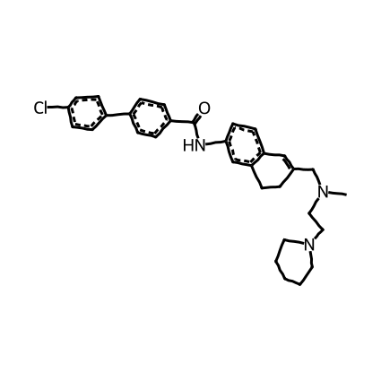 CN(CCN1CCCCC1)CC1=Cc2ccc(NC(=O)c3ccc(-c4ccc(Cl)cc4)cc3)cc2CC1